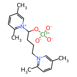 Cc1ccc(C)[n+](CCCC(O[Cl+3]([O-])([O-])[O-])[n+]2cc(C)ccc2C)c1